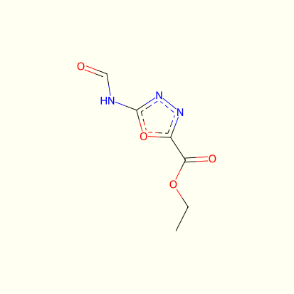 CCOC(=O)c1nnc(NC=O)o1